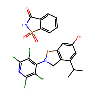 CC(C)c1cc(O)cc2c1CN(c1c(F)c(F)nc(F)c1F)S2.O=C1NS(=O)(=O)c2ccccc21